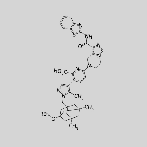 Cc1c(-c2ccc(N3CCn4cnc(C(=O)Nc5nc6ccccc6s5)c4C3)nc2C(=O)O)cnn1CC12CC3(C)CC(C)(C1)CC(OC(C)(C)C)(C3)C2